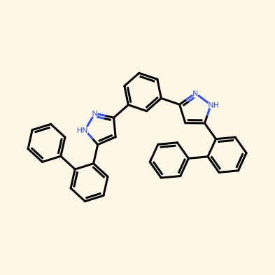 c1ccc(-c2ccccc2-c2cc(-c3cccc(-c4cc(-c5ccccc5-c5ccccc5)[nH]n4)c3)n[nH]2)cc1